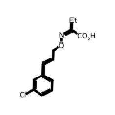 CCC(=NOC/C=C/c1cccc(Cl)c1)C(=O)O